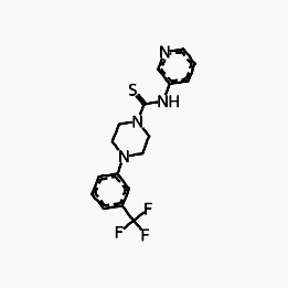 FC(F)(F)c1cccc(N2CCN(C(=S)Nc3cccnc3)CC2)c1